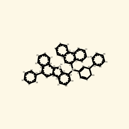 C1=CC(N(c2cc3ccccc3c3ccccc23)c2cccc3c2oc2c4ccccc4c(-c4ccccc4)cc32)=CC(c2ccccc2)C1